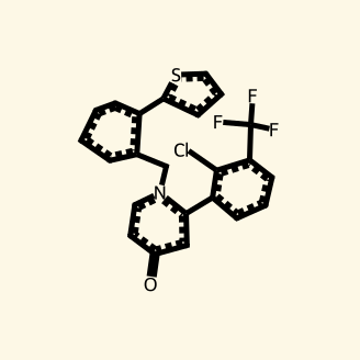 O=c1ccn(Cc2ccccc2-c2cccs2)c(-c2cccc(C(F)(F)F)c2Cl)c1